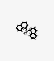 ON(c1cccc2ccccc12)c1cccc2ccccc12